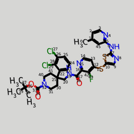 Cc1ccnc(Nc2ncc(Sc3ccnc(C(=O)NCC4(c5cccc(Cl)c5Cl)CCN(C(=O)OC(C)(C)C)CC4)c3F)s2)c1